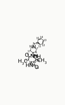 CC(C(=O)NC1CCN(Cc2ccccc2)CC1)[C@H]1NC(=O)[C@@H]1C(C)O